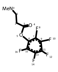 CNCCC(=O)Oc1c(F)c(F)c(F)c(F)c1F